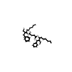 CCCCCCC(OC(=O)CCC(=O)OC(CCCCCC)C(CC)Cc1ccccc1)C(CC)Cc1ccccc1